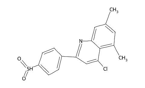 Cc1cc(C)c2c(Cl)cc(-c3ccc([SH](=O)=O)cc3)nc2c1